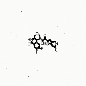 CN(C(=O)c1cc2cnc(Cl)cc2[nH]1)[C@@H]1COCc2[nH]c(=O)c3cc(F)c(F)cc3c21